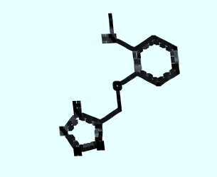 CNc1ccccc1OCc1nnn[nH]1